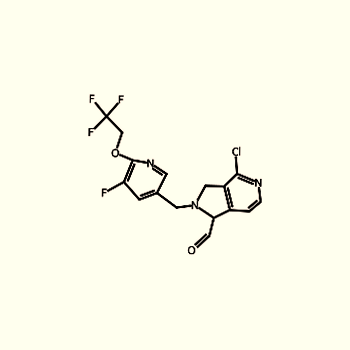 O=CC1c2ccnc(Cl)c2CN1Cc1cnc(OCC(F)(F)F)c(F)c1